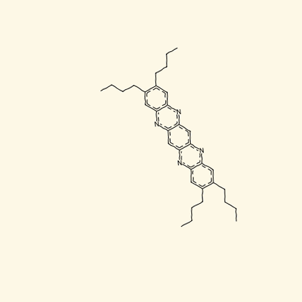 CCCCc1cc2nc3cc4nc5cc(CCCC)c(CCCC)cc5nc4cc3nc2cc1CCCC